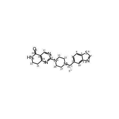 C[C@@H](c1ccc2scnc2c1)N1CCN(c2ncc3c(n2)CCNC3=O)CC1